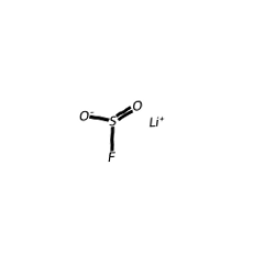 O=S([O-])F.[Li+]